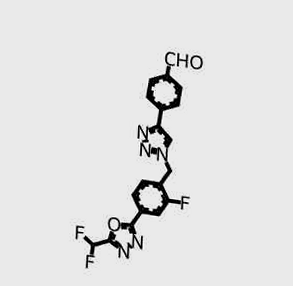 O=Cc1ccc(-c2cn(Cc3ccc(-c4nnc(C(F)F)o4)cc3F)nn2)cc1